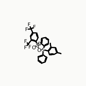 Cc1ccc(S(OS(=O)(=O)c2ccc(C(F)(F)F)cc2C(F)(F)F)(c2ccccc2)c2ccccc2)c(C)c1